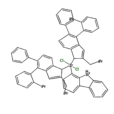 CC(C)CC1=Cc2c(ccc(-c3ccccc3)c2-c2ccccc2C(C)C)[CH]1[Zr]([Cl])([Cl])([c]1cccc2c1[SiH2]c1ccccc1-2)[CH]1C(CC(C)C)=Cc2c1ccc(-c1ccccc1)c2-c1ccccc1C(C)C